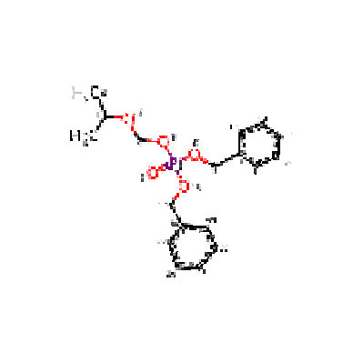 CC(C)OCOP(=O)(OCc1ccccc1)OCc1ccccc1